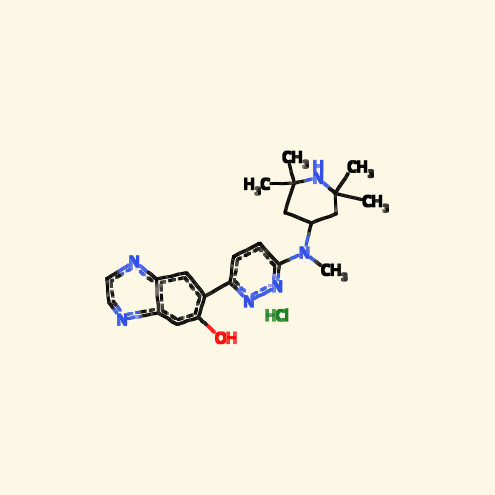 CN(c1ccc(-c2cc3nccnc3cc2O)nn1)C1CC(C)(C)NC(C)(C)C1.Cl